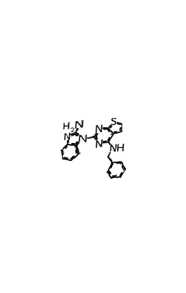 Nc1nc2ccccc2n1-c1nc(NCc2ccccc2)c2ccsc2n1